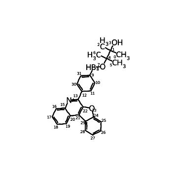 CC(C)(O)C(C)(C)OBc1ccc(-c2nc3ccccc3c3c2oc2ccccc23)cc1